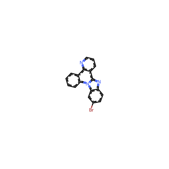 Brc1ccc2nc3c4cccnc4c4ccccc4n3c2c1